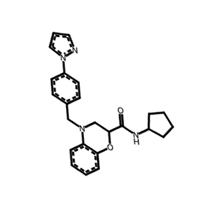 O=C(NC1CCCC1)C1CN(Cc2ccc(-n3cccn3)cc2)c2ccccc2O1